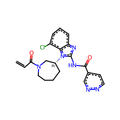 C=CC(=O)N1CCCC[C@@H](n2c(NC(=O)c3ccnnc3)nc3cccc(Cl)c32)C1